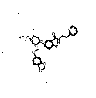 O=C(NCCc1ccccn1)c1cc([C@@H]2CCN(C(=O)O)C[C@H]2COc2ccc3c(c2)OCO3)ccc1F